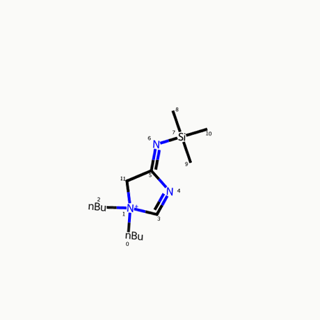 CCCC[N+]1(CCCC)C=NC(=N[Si](C)(C)C)C1